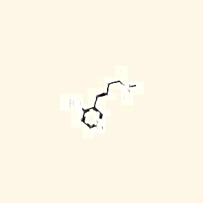 CN[C@@H](C)C/C=C/c1cnccc1O